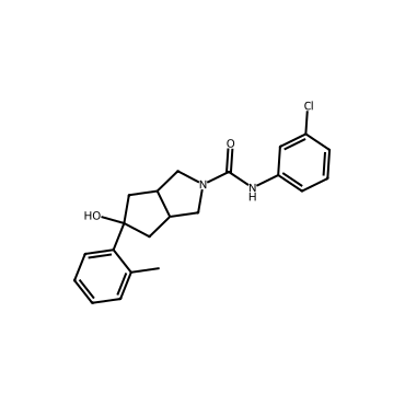 Cc1ccccc1C1(O)CC2CN(C(=O)Nc3cccc(Cl)c3)CC2C1